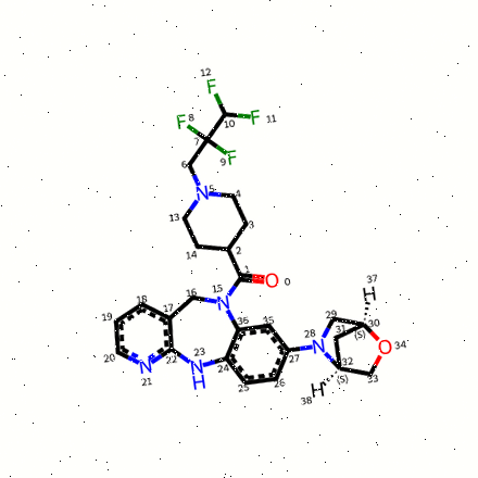 O=C(C1CCN(CC(F)(F)C(F)F)CC1)N1Cc2cccnc2Nc2ccc(N3C[C@@H]4C[C@H]3CO4)cc21